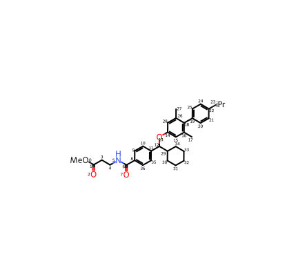 COC(=O)CCNC(=O)c1ccc(C(Oc2cc(C)c(-c3ccc(C(C)C)cc3)c(C)c2)C2CCCCC2)cc1